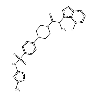 Cc1nsc(NS(=O)(=O)c2ccc(N3CCN(C(=O)C(C)n4ccc5cccc(Cl)c54)CC3)cc2)n1